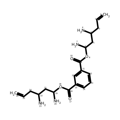 C=CCC(N)CC(N)OC(=O)c1cccc(C(=O)OC(N)CC(N)CC=C)c1